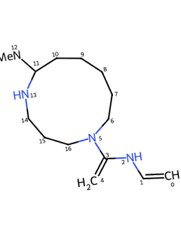 C=CNC(=C)N1CCCCCC(NC)NCCC1